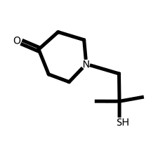 CC(C)(S)CN1CCC(=O)CC1